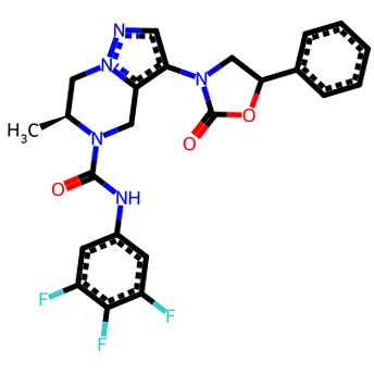 C[C@H]1Cn2ncc(N3CC(c4ccccc4)OC3=O)c2CN1C(=O)Nc1cc(F)c(F)c(F)c1